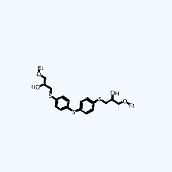 CCOCC(O)CSc1ccc(Sc2ccc(SCC(O)COCC)cc2)cc1